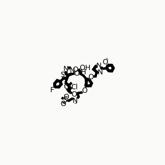 COc1ccccc1-c1nccc(COc2ccc3cc2C[C@H](C(=O)O)Oc2ncnc4sc(-c5ccc(F)cc5)c(c24)-c2ccc(c(Cl)c2C)OC(CN(C)CCS(C)(=O)=O)CO3)n1